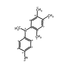 Cc1cc(C)c(N(C)c2ccc(C(C)C)cc2)cc1C